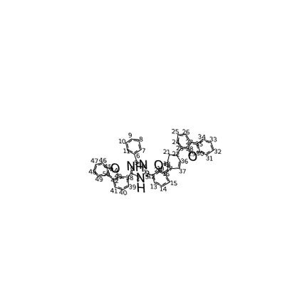 NC(NC(/N=C/c1ccccc1)c1cccc2c3c(oc12)CC(c1cccc2c1oc1ccccc12)C=C3)c1cccc2c1oc1ccccc12